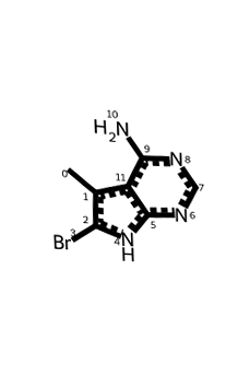 Cc1c(Br)[nH]c2ncnc(N)c12